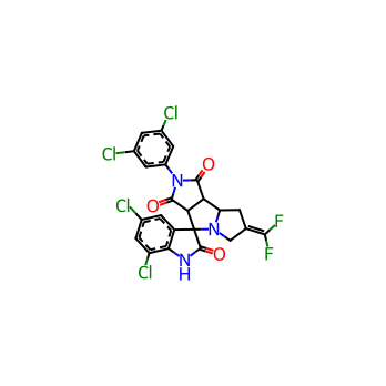 O=C1C2C3CC(=C(F)F)CN3C3(C(=O)Nc4c(Cl)cc(Cl)cc43)C2C(=O)N1c1cc(Cl)cc(Cl)c1